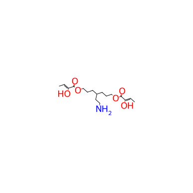 CC=C(O)C(=O)OCCCC(CCN)CCCOC(=O)C(O)=CC